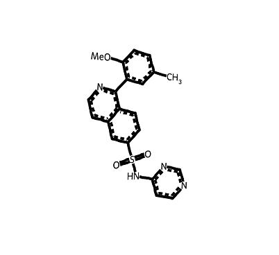 COc1ccc(C)cc1-c1nccc2cc(S(=O)(=O)Nc3ccncn3)ccc12